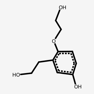 OCCOc1ccc(O)cc1CCO